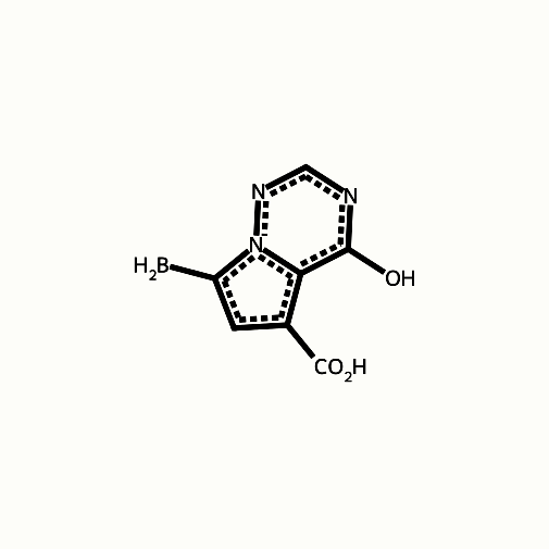 Bc1cc(C(=O)O)c2c(O)ncnn12